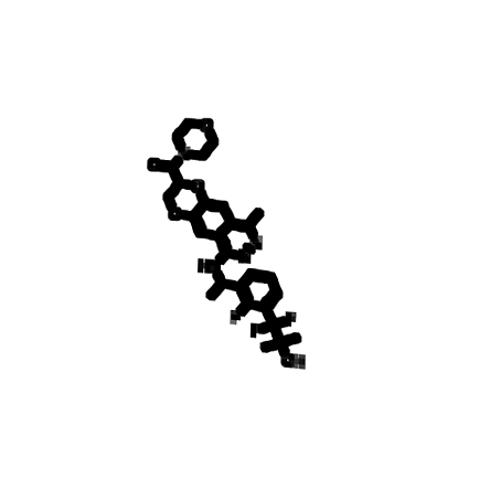 Cc1nnc(NC(C)c2cccc(C(F)(F)C(C)(C)O)c2F)c2cc3c(cc12)OC(C(=O)N1CCOCC1)CO3